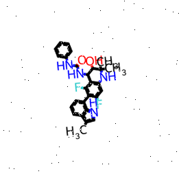 Cc1c[nH]c2c(-c3c(F)cc4c(c3F)C(NC(=O)Nc3ccccc3)C(O)C(C)(C)N4)cccc12